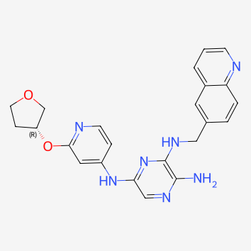 Nc1ncc(Nc2ccnc(O[C@@H]3CCOC3)c2)nc1NCc1ccc2ncccc2c1